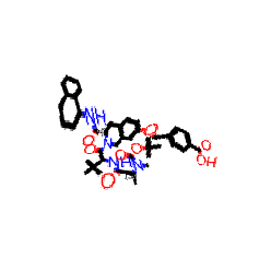 C[C@@H](C(=O)NC(C(=O)N1Cc2cc(OCc3ccc(C(=O)O)cc3)ccc2C[C@H]1C(=O)NC1CCCc2ccccc21)C(C)(C)C)N(C)C(=O)OC(C)(C)C